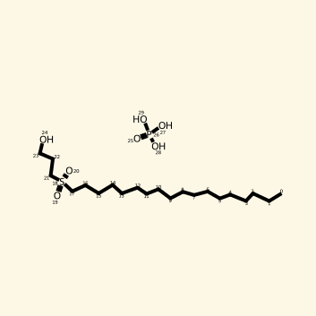 CCCCCCCCCCCCCCCCCCS(=O)(=O)CCCO.O=P(O)(O)O